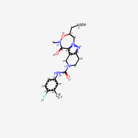 CNCC1Cn2nc3c(c2C(=O)N(C)O1)CN(C(=O)Nc1ccc(F)c(C(F)(F)F)c1)CC3